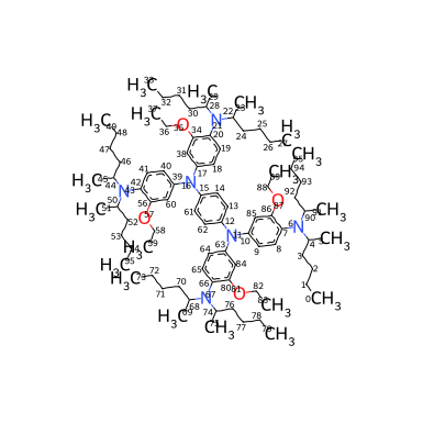 CCCCC(C)N(c1ccc(N(c2ccc(N(c3ccc(N(C(C)CCCC)C(C)CCCC)c(OCC)c3)c3ccc(N(C(C)CCCC)C(C)CCCC)c(OCC)c3)cc2)c2ccc(N(C(C)CCCC)C(C)CCCC)c(OCC)c2)cc1OCC)C(C)CCCC